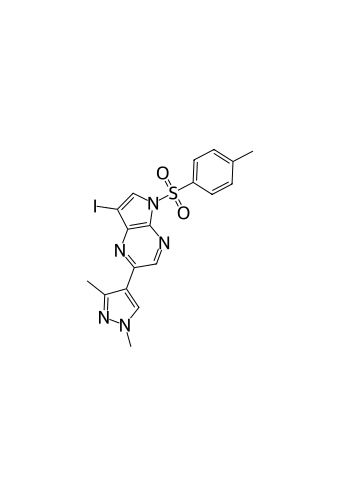 Cc1ccc(S(=O)(=O)n2cc(I)c3nc(-c4cn(C)nc4C)cnc32)cc1